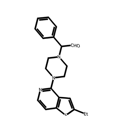 CCc1cc2c(N3CCN(C(C=O)c4ccccc4)CC3)nccc2s1